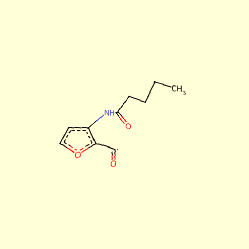 CCCCC(=O)Nc1ccoc1[C]=O